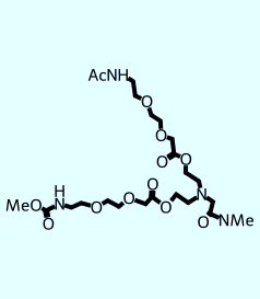 CNC(=O)CN(CCOC(=O)COCCOCCNC(C)=O)CCOC(=O)COCCOCCNC(=O)OC